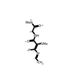 C/C=N/C(F)=C(\SC)C(=O)NCC(=O)NC